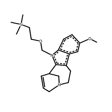 COc1ccc2c(c1)c1c(n2COCC[Si](C)(C)C)C2C=CCN(CC1)C2